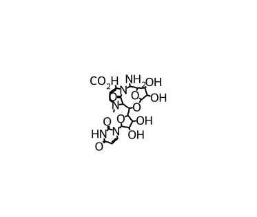 CN1CC=C(C(=O)O)N2C(=O)C1C(C1OC(n3ccc(=O)[nH]c3=O)C(O)C1O)OC1OC(C(O)C1O)C2N